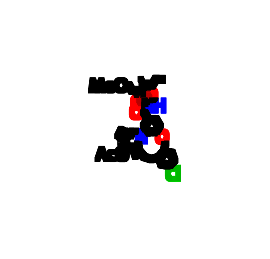 C=CC[C@H](C)[C@@H](CCOC)S(=O)(=O)NC(=O)c1ccc2c(c1)N(C[C@@H]1CC[C@H]1[C@H](C=C)OC(C)=O)CCCCc1cc(Cl)ccc1CO2